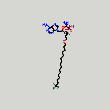 C[C@H](Cn1cnc2c(N)ncnc21)OC(N)P(=O)(O)OCCCOCCCCCCCCCCCCCCCC(F)(F)F